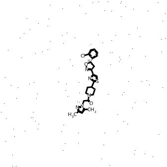 Cc1cc(C)n(CC(=O)N2CCC(c3nc(C4=NO[C@H](c5[c]cccc5Cl)C4)cs3)CC2)n1